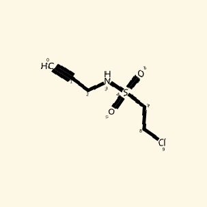 C#CCNS(=O)(=O)CCCl